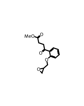 COC(=O)CCC(=O)c1ccccc1OCC1CO1